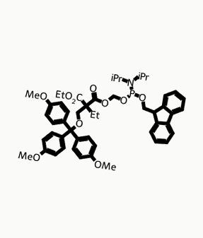 CCOC(=O)C(CC)(COC(c1ccc(OC)cc1)(c1ccc(OC)cc1)c1ccc(OC)cc1)C(=O)OCOP(OCC1c2ccccc2-c2ccccc21)N(C(C)C)C(C)C